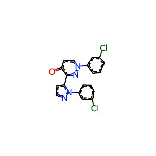 O=c1ccn(-c2cccc(Cl)c2)nc1-c1ccnn1-c1cccc(Cl)c1